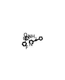 NN1C(=O)O[C@H](c2cccc(F)c2)[C@H]1c1cncc(C#CC2CCCC2)c1